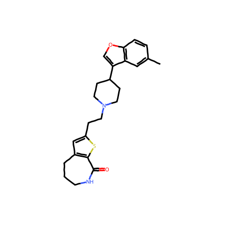 Cc1ccc2occ(C3CCN(CCc4cc5c(s4)C(=O)NCCC5)CC3)c2c1